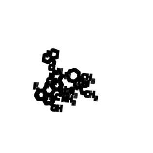 C#Cc1c(F)ccc2cc(O)cc(-c3c(C(C)(C)N)cc4c(N5CCCC(C)(O)C(N(C)C(=O)C=C)C5)nc(OCC56CCCN5CCC6)nc4c3F)c12